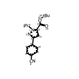 CC(C)n1nc(-c2ccc(C#N)cc2)cc1C(=O)OC(C)(C)C